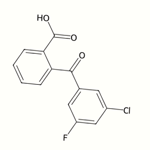 O=C(O)c1ccccc1C(=O)c1cc(F)cc(Cl)c1